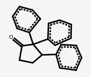 O=C1CCC(c2ccccc2)C1(c1ccccc1)c1ccccc1